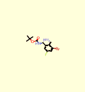 Cc1c(Br)cc(F)cc1[C@@H](N)NC(=O)OC(C)(C)C